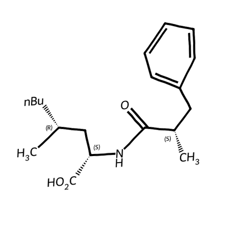 CCCC[C@@H](C)C[C@H](NC(=O)[C@@H](C)Cc1ccccc1)C(=O)O